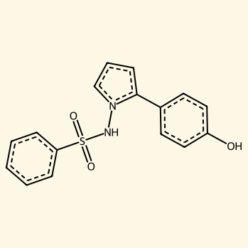 O=S(=O)(Nn1cccc1-c1ccc(O)cc1)c1ccccc1